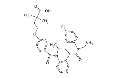 CCN(C(=O)[C@H]1C[C@H](C)N(C(=O)c2ccc(OCCC(C)(C)C(=O)O)cc2)c2ccncc21)c1ccc(Cl)cc1